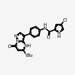 CC(C)(C)c1cc(=O)n2ncc(-c3ccc(NC(=O)c4cc(Cl)c[nH]4)cc3)c2[nH]1